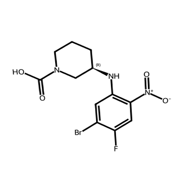 O=C(O)N1CCC[C@@H](Nc2cc(Br)c(F)cc2[N+](=O)[O-])C1